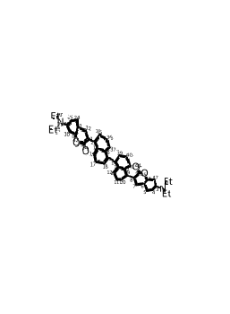 CCN(CC)c1ccc2cc(-c3cccc4c(-c5cccc6c(-c7cc8ccc(N(CC)CC)cc8oc7=O)cccc56)cccc34)c(=O)oc2c1